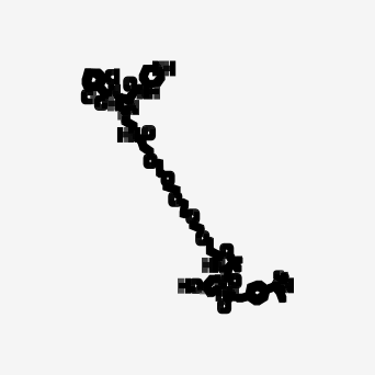 Cc1ncsc1-c1ccc(CNC(=O)[C@@H]2C[C@@H](O)CN2C(=O)[C@@H](NC(=O)CCOCCOCCOCCOCCOCCC(=O)NCCn2cc(NC(=O)c3c(Cl)cccc3Cl)c(C(=O)NC3CCNCC3)n2)C(C)(C)C)cc1